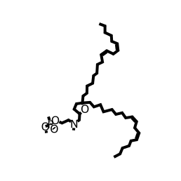 CCCCC/C=C\C/C=C\CCCCCCCCC1(CCCCCCCC/C=C\C/C=C\CCCCC)CCC(CN(C)CCOP(C)(=O)OC)O1